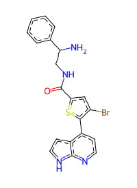 NC(CNC(=O)c1cc(Br)c(-c2ccnc3[nH]ccc23)s1)c1ccccc1